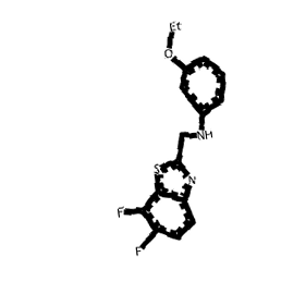 CCOc1cccc(NCc2nc3ccc(F)c(F)c3s2)c1